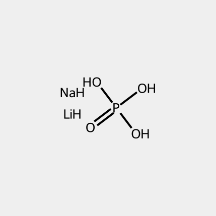 O=P(O)(O)O.[LiH].[NaH]